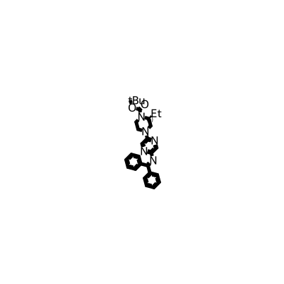 CC[C@H]1CN(c2cnc(N=C(c3ccccc3)c3ccccc3)cn2)CCN1C(=O)OC(C)(C)C